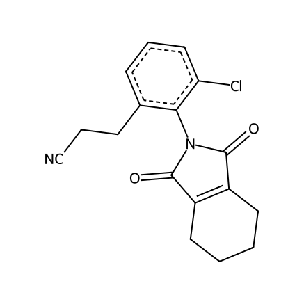 N#CCCc1cccc(Cl)c1N1C(=O)C2=C(CCCC2)C1=O